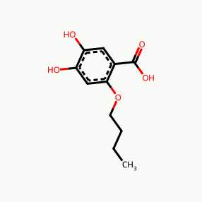 CCCCOc1cc(O)c(O)cc1C(=O)O